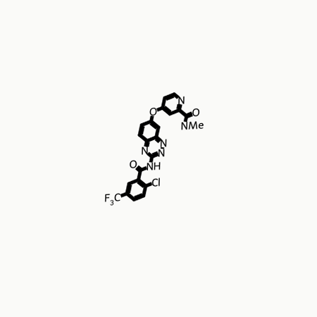 CNC(=O)c1cc(Oc2ccc3nc(NC(=O)c4cc(C(F)(F)F)ccc4Cl)nnc3c2)ccn1